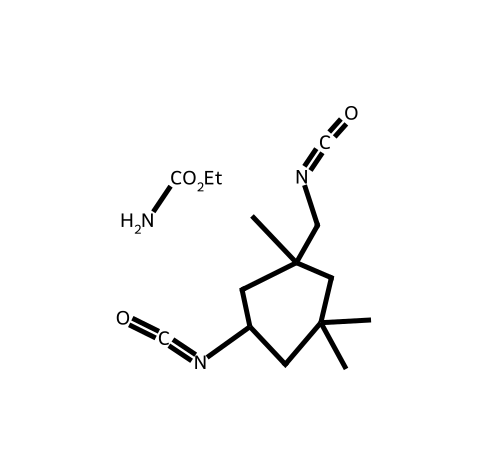 CC1(C)CC(N=C=O)CC(C)(CN=C=O)C1.CCOC(N)=O